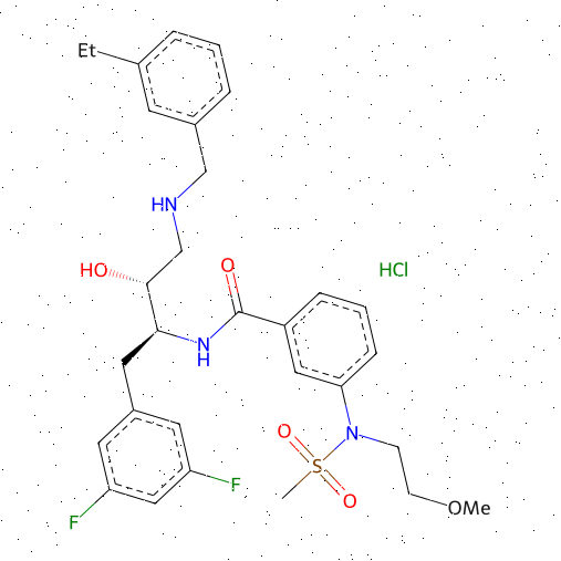 CCc1cccc(CNC[C@@H](O)[C@H](Cc2cc(F)cc(F)c2)NC(=O)c2cccc(N(CCOC)S(C)(=O)=O)c2)c1.Cl